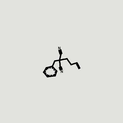 C=CCCC(C#N)(C#N)Cc1ccccc1